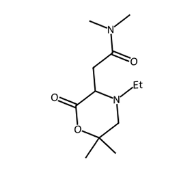 CCN1CC(C)(C)OC(=O)C1CC(=O)N(C)C